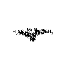 C=CC(=O)Nc1cccc(Oc2nc(Nc3ncc(N4CCN(C)CC4)cc3OC)nc3ccnn23)c1